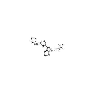 C[Si](C)(C)OCCn1cc(-c2ccnc(NC3CCCCC3)n2)c2cccnc21